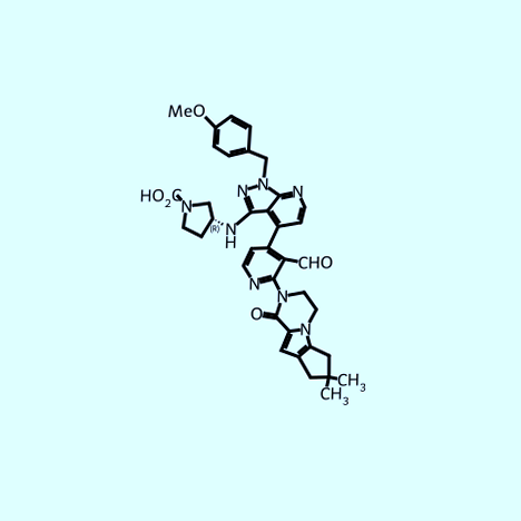 COc1ccc(Cn2nc(N[C@@H]3CCN(C(=O)O)C3)c3c(-c4ccnc(N5CCn6c(cc7c6CC(C)(C)C7)C5=O)c4C=O)ccnc32)cc1